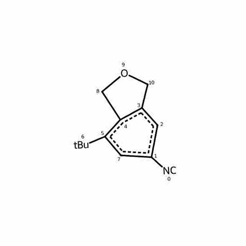 [C-]#[N+]c1cc2c(c(C(C)(C)C)c1)COC2